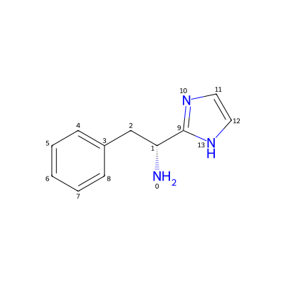 N[C@H](Cc1ccccc1)c1ncc[nH]1